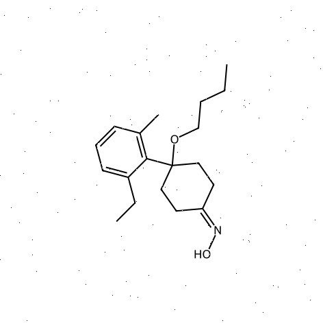 CCCCOC1(c2c(C)cccc2CC)CCC(=NO)CC1